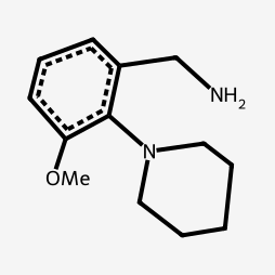 COc1cccc(CN)c1N1CCCCC1